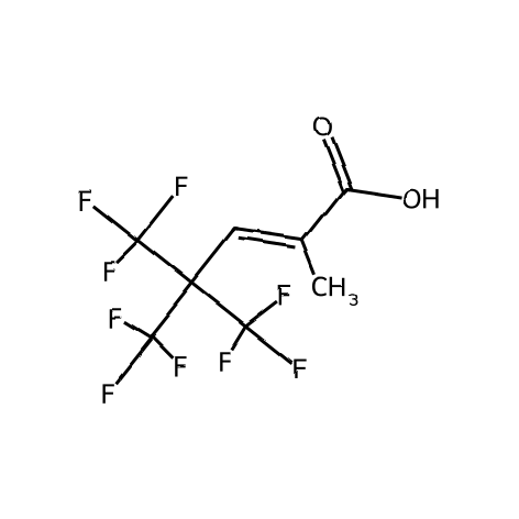 C/C(=C\C(C(F)(F)F)(C(F)(F)F)C(F)(F)F)C(=O)O